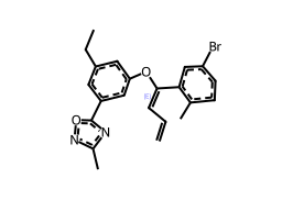 C=C/C=C(/Oc1cc(CC)cc(-c2nc(C)no2)c1)c1cc(Br)ccc1C